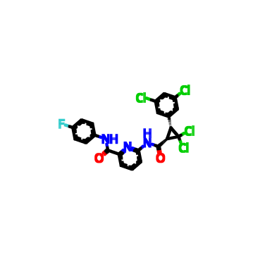 O=C(Nc1ccc(F)cc1)c1cccc(NC(=O)[C@H]2[C@H](c3cc(Cl)cc(Cl)c3)C2(Cl)Cl)n1